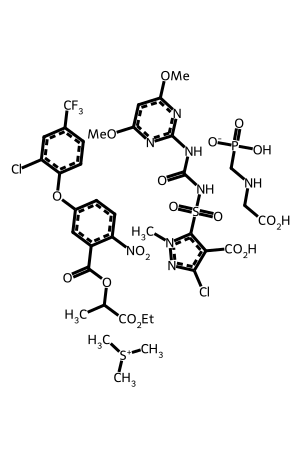 CCOC(=O)C(C)OC(=O)c1cc(Oc2ccc(C(F)(F)F)cc2Cl)ccc1[N+](=O)[O-].COc1cc(OC)nc(NC(=O)NS(=O)(=O)c2c(C(=O)O)c(Cl)nn2C)n1.C[S+](C)C.O=C(O)CNCP(=O)([O-])O